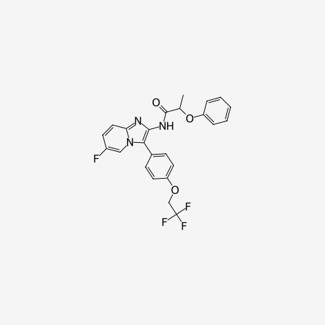 CC(Oc1ccccc1)C(=O)Nc1nc2ccc(F)cn2c1-c1ccc(OCC(F)(F)F)cc1